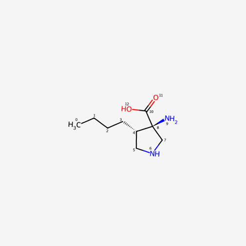 CCCC[C@H]1CNC[C@@]1(N)C(=O)O